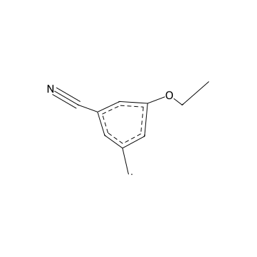 [CH2]c1cc(C#N)cc(OCC)c1